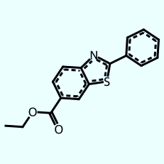 CCOC(=O)c1ccc2nc(-c3ccccc3)sc2c1